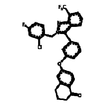 O=C1CCCc2cc(Oc3cccc(-c4c5cccc(C(F)(F)F)c5nn4Cc4ccc(F)cc4Cl)c3)ccc21